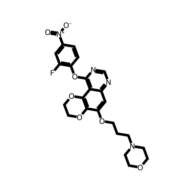 O=[N+]([O-])c1ccc(Oc2ncnc3cc(OCCCN4CCOCC4)c4c(c23)OCCO4)c(F)c1